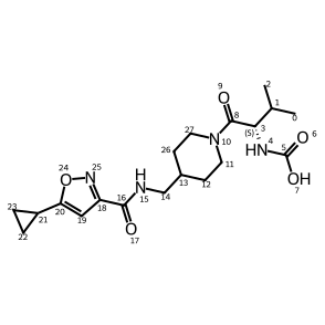 CC(C)[C@H](NC(=O)O)C(=O)N1CCC(CNC(=O)c2cc(C3CC3)on2)CC1